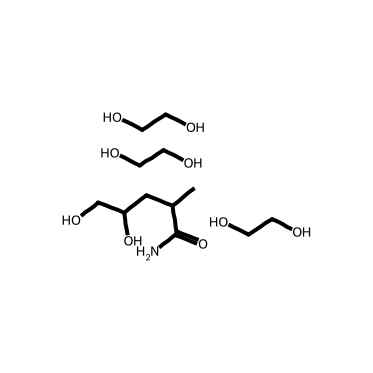 CC(CC(O)CO)C(N)=O.OCCO.OCCO.OCCO